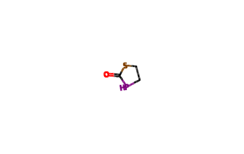 O=C1PCCS1